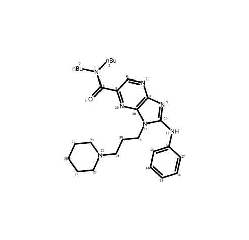 CCCCN(CCCC)C(=O)c1cnc2nc(Nc3ccccc3)n(CCCN3CCCCC3)c2n1